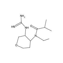 CCN(C(=O)C(C)C)C1CCOCC1NC(=N)N